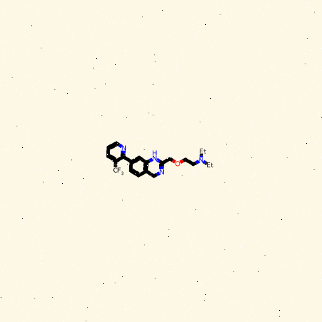 CCN(CC)CCOCC1=N[CH]c2ccc(-c3ncccc3C(F)(F)F)cc2N1